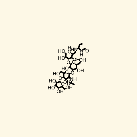 CCC(NC=O)NCC(O)C(O)[C@H](O[C@@H]1OC(CO)[C@H](O)C(O[C@@H]2OC(CO)[C@@H](O[C@@H]3OC(CO)[C@H](O)C(O)C3O)C(O)C2NC(C)=O)C1O)C(O)CO